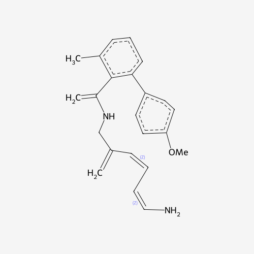 C=C(/C=C\C=C/N)CNC(=C)c1c(C)cccc1-c1ccc(OC)cc1